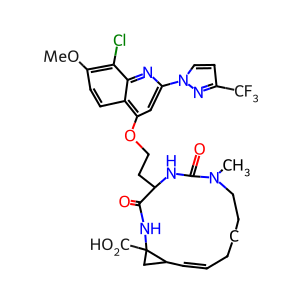 COc1ccc2c(OCCC3NC(=O)N(C)CCCCC=CC4CC4(C(=O)O)NC3=O)cc(-n3ccc(C(F)(F)F)n3)nc2c1Cl